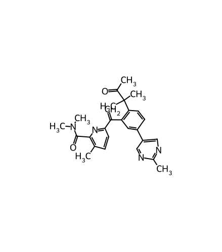 C=C(c1ccc(C)c(C(=O)N(C)C)n1)c1cc(-c2cnc(C)nc2)ccc1C(C)(C)C(C)=O